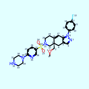 COC[C@]12Cc3cnn(-c4ccc(F)cc4)c3C=C1CCN(S(=O)(=O)c1ccc(N3CCNCC3)nc1)C2